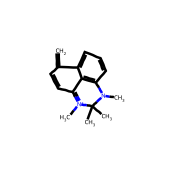 C=c1ccc2c3c(cccc13)N(C)C(C)(C)[N+]=2C